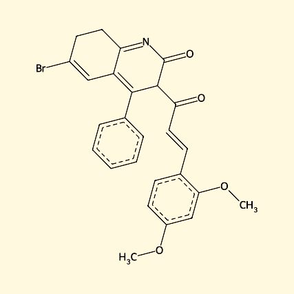 COc1ccc(/C=C/C(=O)C2C(=O)N=C3CCC(Br)=CC3=C2c2ccccc2)c(OC)c1